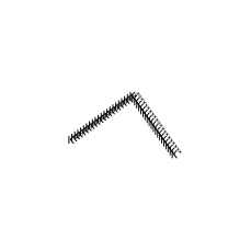 [K+].[K+].[K+].[K+].[K+].[K+].[K+].[K+].[K+].[K+].[K+].[K+].[K+].[K+].[K+].[K+].[K+].[K+].[K+].[K+].[K+].[K+].[K+].[K+].[K+].[K+].[K+].[K+].[K+].[K+].[K+].[K+].[K+].[K+].[K+].[K+].[K+].[K+].[K+].[K+].[K+].[K+]